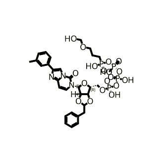 Cc1cccc(-c2cn3c(=O)n([C@@H]4O[C@H](COP(=O)(O)OP(=O)(O)OP(=O)(O)OP(=O)(O)CCCOCO)C5OC(Cc6ccccc6)O[C@@H]54)ccc3n2)c1